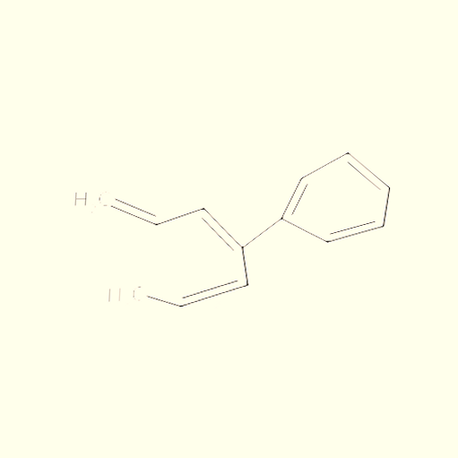 C=C/C=C(\C=C/C)c1ccccc1